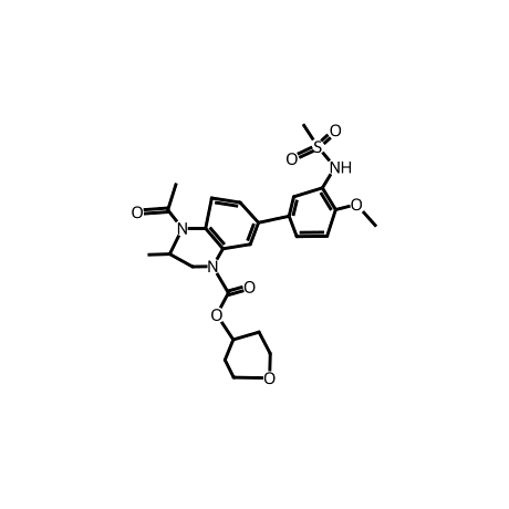 COc1ccc(-c2ccc3c(c2)N(C(=O)OC2CCOCC2)CC(C)N3C(C)=O)cc1NS(C)(=O)=O